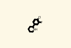 Fc1cc(C2CCCCN2)ccc1Cl